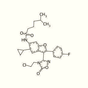 CC(C)CCCS(=O)(=O)Nc1cc2oc(-c3ccc(F)cc3)c(-c3noc(=O)n3CCCl)c2cc1C1CC1